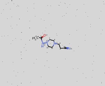 CC(=O)NN1CCN(CCC#N)CC1